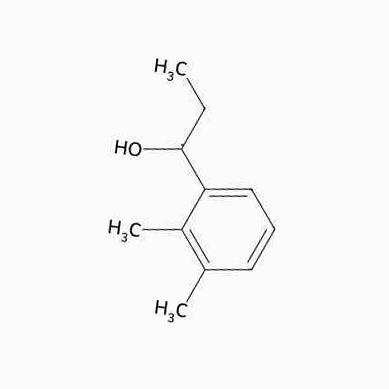 CC[C](O)c1cccc(C)c1C